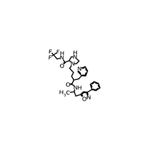 CC(Cc1cc(-c2ccccc2)no1)NC(=O)C(CCCN1CCNCC1C(=O)NCC(F)(F)F)Cc1cccnc1